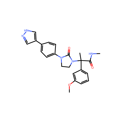 CNC(=O)C(C)(c1cccc(OC)c1)N1CCN(c2ccc(-c3cn[nH]c3)cc2)C1=O